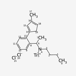 CCCC[N]([Ti+2])C(C)c1ccccc1C1=CC(C)=CC1.[Cl-].[Cl-]